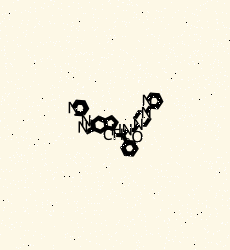 C[C@]12Cc3cnn(-c4cccnc4)c3C=C1CC[C@@H]2CC(NC(=O)N1CCN(c2ccccn2)CC1)c1ccccc1